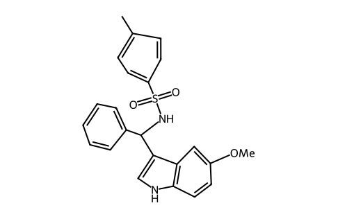 COc1ccc2[nH]cc(C(NS(=O)(=O)c3ccc(C)cc3)c3ccccc3)c2c1